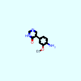 CCOc1cc(-c2cnc[nH]c2=O)ccc1N